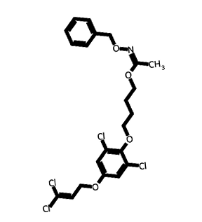 CC(=NOCc1ccccc1)OCCCCOc1c(Cl)cc(OCC=C(Cl)Cl)cc1Cl